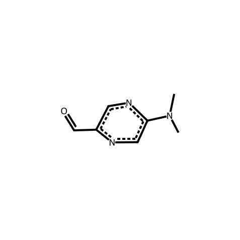 CN(C)c1cnc(C=O)cn1